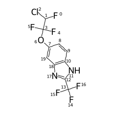 FC(Cl)C(F)(F)Oc1ccc2[nH]c(C(F)(F)F)nc2c1